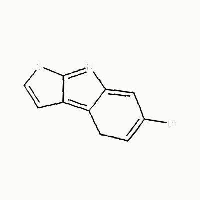 BrC1=CCC2=c3ccsc3=NC2=C1